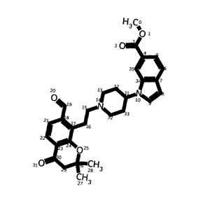 COC(=O)c1ccc2ccn(C3CCN(CCc4c(C=O)ccc5c4OC(C)(C)CC5=O)CC3)c2c1